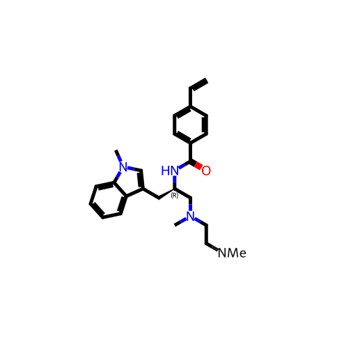 C=Cc1ccc(C(=O)N[C@H](Cc2cn(C)c3ccccc23)CN(C)CCNC)cc1